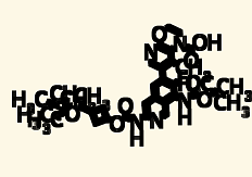 Cc1c(-c2cc3cc(NC(=O)OC4CC(C(C)O[Si](C)(C)C(C)(C)C)C4)ncc3c(NC(=O)OC(C)(C)C)c2F)cnc2c1N(C(=O)O)CCO2